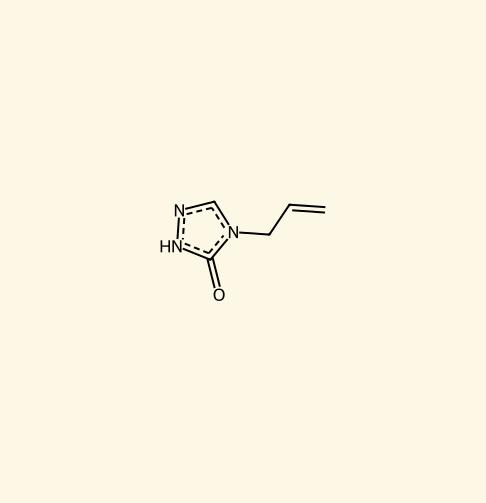 C=CCn1cn[nH]c1=O